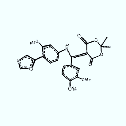 COc1ccc(C(Nc2ccc(-c3cnco3)c(OC)c2)=C2C(=O)OC(C)(C)OC2=O)cc1OC